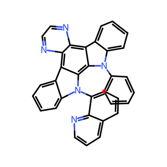 c1ccc(-n2c3ccccc3c3c4nccnc4c4c5ccccc5n(-c5cccc6cccnc56)c4c32)cc1